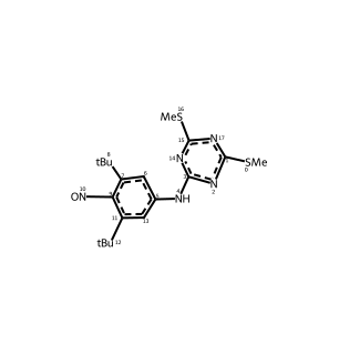 CSc1nc(Nc2cc(C(C)(C)C)c(N=O)c(C(C)(C)C)c2)nc(SC)n1